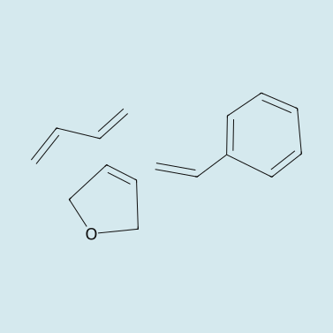 C1=CCOC1.C=CC=C.C=Cc1ccccc1